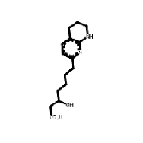 O=C(O)CC(O)CCCCc1ccc2c(n1)NCCC2